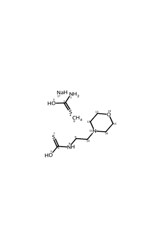 C.NC(O)=S.OC(=S)NCCN1CCOCC1.[NaH]